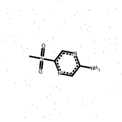 CS(=O)(=O)c1cnc(N)cn1